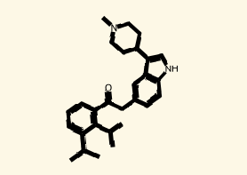 CC(C)c1cccc(C(=O)Cc2ccc3[nH]cc(C4CCN(C)CC4)c3c2)c1C(C)C